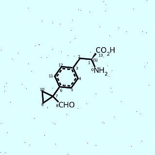 N[C@@H](Cc1ccc(C2(C=O)CC2)cc1)C(=O)O